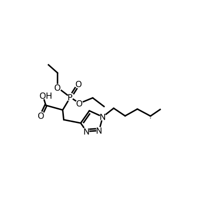 C[CH]CCCn1cc(CC(C(=O)O)P(=O)(OCC)OCC)nn1